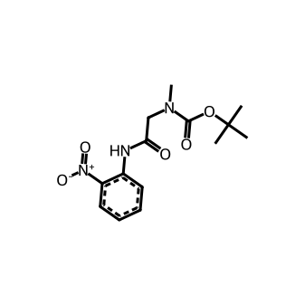 CN(CC(=O)Nc1ccccc1[N+](=O)[O-])C(=O)OC(C)(C)C